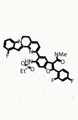 CCS(=O)(=O)Nc1cc2oc(-c3ccc(F)cc3F)c(C(=O)NC)c2cc1-c1ccc2c(n1)-c1cc3c(F)cccc3n1CC2